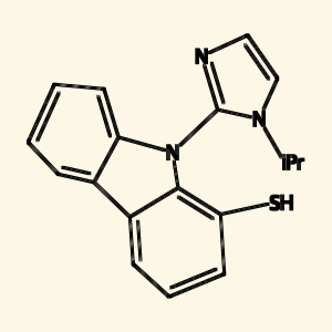 CC(C)n1ccnc1-n1c2ccccc2c2cccc(S)c21